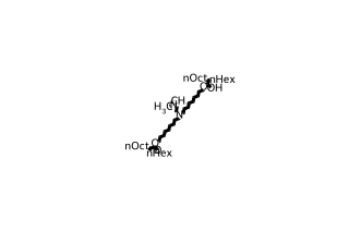 CCCCCCCCC(CCCCCC)C(=O)OCCCCCCCCCN(CCCCCCCCCOC(O)C(CCCCCC)CCCCCCCC)CCN(C)C